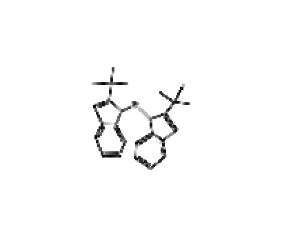 CC(C)(C)C1=Cc2ccccc2[CH]1[Zr][CH]1C(C(C)(C)C)=Cc2ccccc21